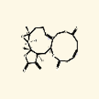 C=C1C(=O)O[C@@H]2[C@H]3O[C@]3(C)CC/C=C3\COC(=O)C/C=C\CC(=O)O[C@H]3C[C@@H]12